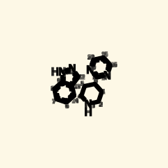 C1CCNCC1.c1ccc2[nH]ncc2c1.c1cncnc1